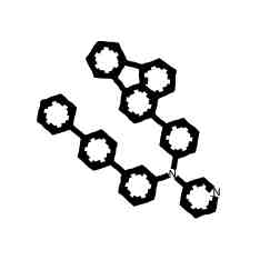 c1ccc(-c2ccc(-c3cccc(N(c4cccnc4)c4cccc(-c5ccc6c7c(cccc57)-c5ccccc5-6)c4)c3)cc2)cc1